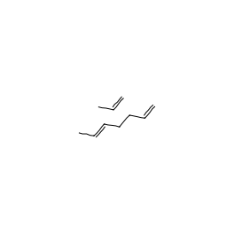 C=CC.C=CCCC=CC